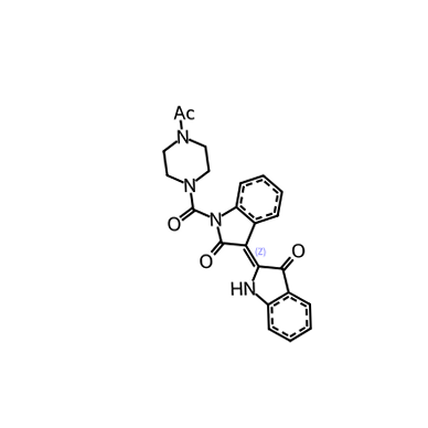 CC(=O)N1CCN(C(=O)N2C(=O)/C(=C3\Nc4ccccc4C3=O)c3ccccc32)CC1